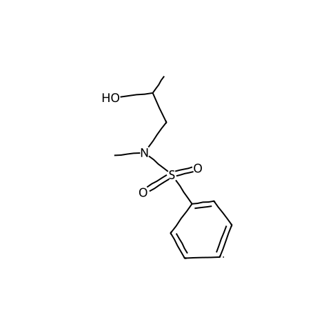 CC(O)CN(C)S(=O)(=O)c1cc[c]cc1